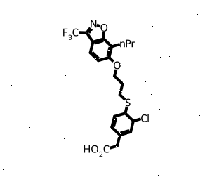 CCCc1c(OCCCSC2C=CC(CC(=O)O)=CC2Cl)ccc2c(C(F)(F)F)noc12